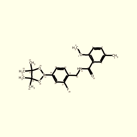 COc1ccc(C)cc1C(=O)NCc1ccc(B2OC(C)(C)C(C)(C)O2)cc1F